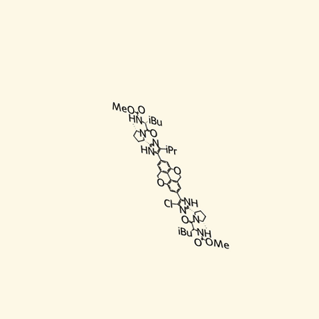 CC[C@H](C)[C@H](NC(=O)OC)C(=O)N1[C@@H](C)CC[C@H]1c1nc(Cl)c(-c2cc3c4c(c2)OCc2cc(-c5[nH]c([C@@H]6CC[C@H](C)N6C(=O)[C@@H](NC(=O)OC)[C@@H](C)CC)nc5C(C)C)cc(c2-4)OC3)[nH]1